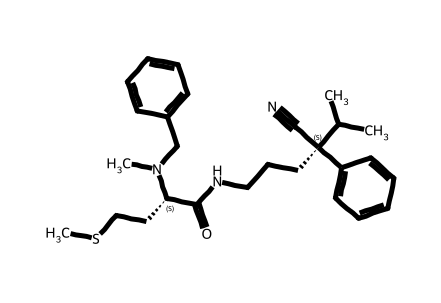 CSCC[C@@H](C(=O)NCCC[C@@](C#N)(c1ccccc1)C(C)C)N(C)Cc1ccccc1